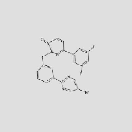 O=c1ccc(-c2cc(F)cc(F)c2)nn1Cc1cccc(-c2ncc(Br)cn2)c1